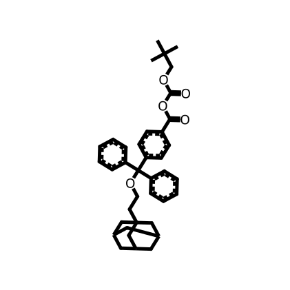 CC(C)(C)COC(=O)OC(=O)c1ccc(C(OCCC23CC4CC(CC(C4)C2)C3)(c2ccccc2)c2ccccc2)cc1